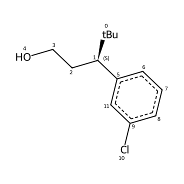 CC(C)(C)[C@H](CCO)c1cccc(Cl)c1